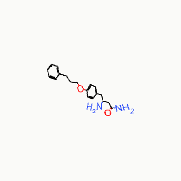 NC(=O)CC(N)Cc1ccc(OCCCc2ccccc2)cc1